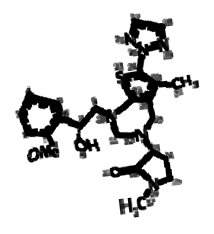 COc1ccccc1[C@@H](O)CN1CN([C@H]2CCN(C)C2=O)Cc2c1sc(-n1nccn1)c2C